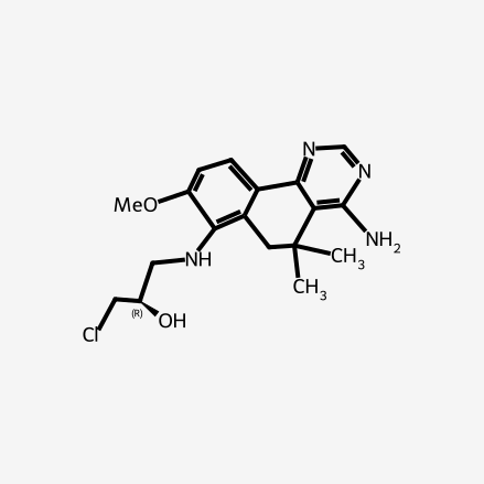 COc1ccc2c(c1NC[C@@H](O)CCl)CC(C)(C)c1c(N)ncnc1-2